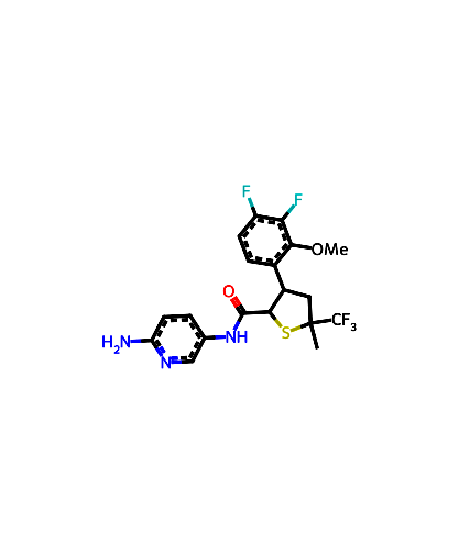 COc1c(C2CC(C)(C(F)(F)F)SC2C(=O)Nc2ccc(N)nc2)ccc(F)c1F